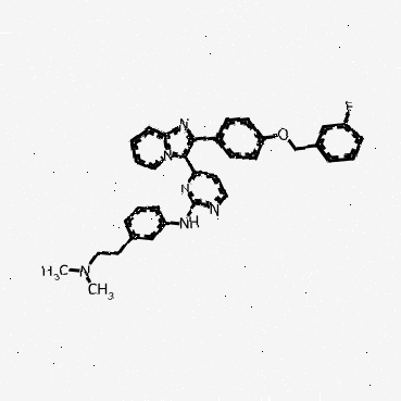 CN(C)CCc1cccc(Nc2nccc(-c3c(-c4ccc(OCc5cccc(F)c5)cc4)nc4ccccn34)n2)c1